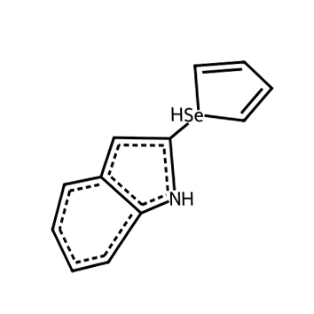 C1=C[SeH](c2cc3ccccc3[nH]2)C=C1